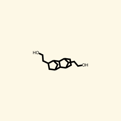 OCCC1CC2CC1C1C3CCC(C3CCO)C21